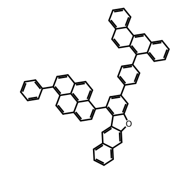 c1ccc(-c2ccc3ccc4c(-c5cc(-c6ccc(-c7c8ccccc8cc8c7ccc7ccccc78)cc6)cc6oc7cc8ccccc8cc7c56)ccc5ccc2c3c54)cc1